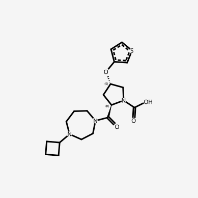 O=C([C@H]1C[C@H](Oc2ccsc2)CN1C(=O)O)N1CCCN(C2CCC2)CC1